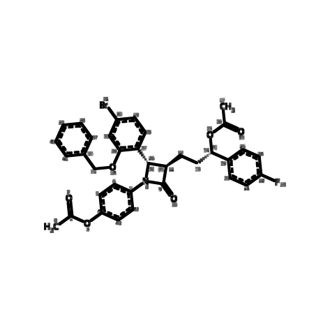 CC(=O)Oc1ccc(N2C(=O)[C@H](CC[C@H](OC(C)=O)c3ccc(F)cc3)[C@H]2c2ccc(Br)cc2OCc2ccccc2)cc1